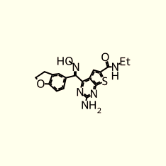 CCNC(=O)c1cc2c(C(=NO)c3ccc4c(c3)CCO4)nc(N)nc2s1